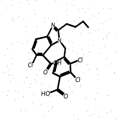 CCCCc1nc2ccc(Cl)c(C(=O)O)c2n1Cc1ccc(C(=O)O)c(Cl)c1Cl